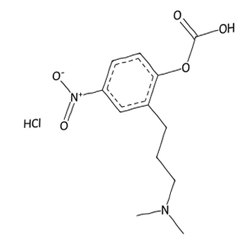 CN(C)CCCc1cc([N+](=O)[O-])ccc1OC(=O)O.Cl